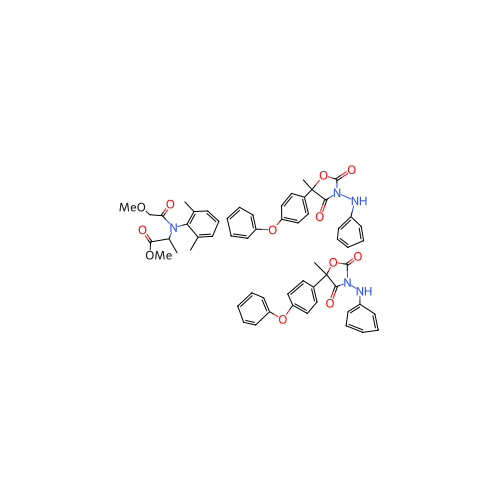 CC1(c2ccc(Oc3ccccc3)cc2)OC(=O)N(Nc2ccccc2)C1=O.CC1(c2ccc(Oc3ccccc3)cc2)OC(=O)N(Nc2ccccc2)C1=O.COCC(=O)N(c1c(C)cccc1C)C(C)C(=O)OC